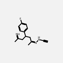 C#CN/N=C(/C)CC(CC(C)=N)c1ccc(F)cc1